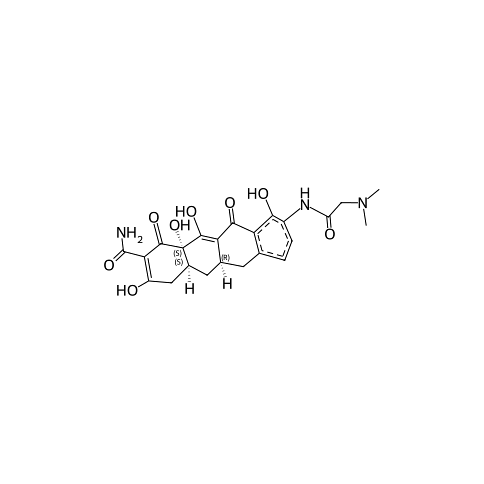 CN(C)CC(=O)Nc1ccc2c(c1O)C(=O)C1=C(O)[C@]3(O)C(=O)C(C(N)=O)=C(O)C[C@@H]3C[C@@H]1C2